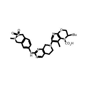 Cc1c(N2CCc3cnc(Nc4ccc5c(c4)CN(C)S(=O)(=O)C5)nc3C2)cnc2c1N(C(=O)O)C(C(C)(C)C)CO2